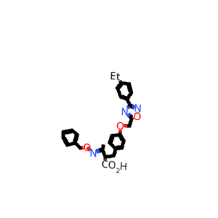 CCc1ccc(-c2noc(COc3ccc(CC(C(=O)O)/C(C)=N/OCc4ccccc4)cc3)n2)cc1